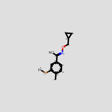 CCSc1cc(/C(C#N)=N/OCC2CC2)ccc1C